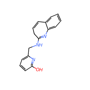 Oc1cccc(CNC2=Nc3ccccc3C=CC2)n1